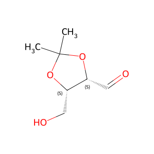 CC1(C)O[C@@H](CO)[C@@H](C=O)O1